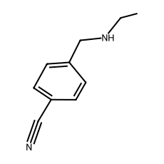 CCNCc1ccc(C#N)cc1